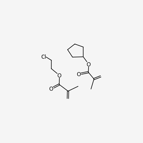 C=C(C)C(=O)OC1CCCC1.C=C(C)C(=O)OCCCl